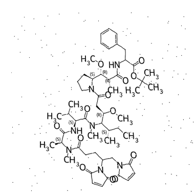 CC[C@H](C)C([C@@H](CC(=O)N1CCC[C@H]1[C@H](OC)[C@@H](C)C(=O)NC(Cc1ccccc1)C(=O)OC(C)(C)C)OC)N(C)C(=O)[C@@H](NC(=O)[C@H](C)N(C)C(=O)CCC(CN1C(=O)C=CC1=O)N1C(=O)C=CC1=O)C(C)C